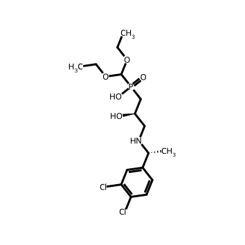 CCOC(OCC)P(=O)(O)C[C@H](O)CN[C@H](C)c1ccc(Cl)c(Cl)c1